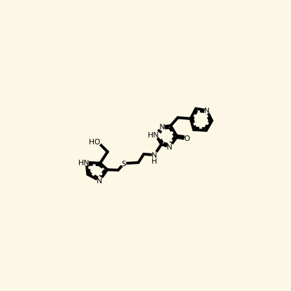 O=c1nc(NCCSCc2nc[nH]c2CO)[nH]nc1Cc1cccnc1